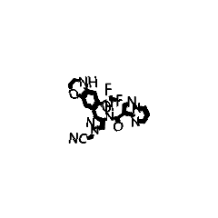 N#CCn1cc(NC(=O)c2cnn3cccnc23)c(-c2cc3c(cc2OC(F)F)NCCO3)n1